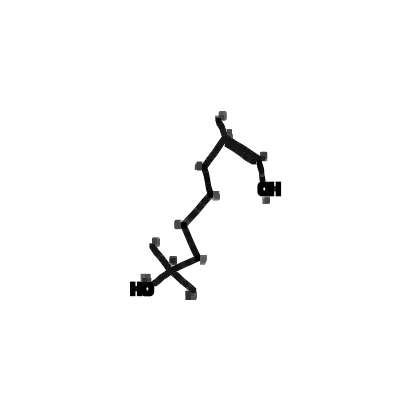 CC(=CO)CCCCC(C)(C)O